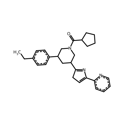 CCc1ccc(C2CC(C3=NC(c4ccccn4)=CC3)CN(C(=O)C3CCCC3)C2)cc1